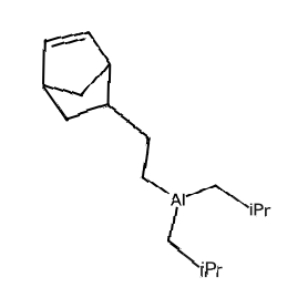 CC(C)[CH2][Al]([CH2]CC1CC2C=CC1C2)[CH2]C(C)C